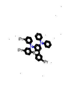 CC(C)c1cccc(N2c3cc(C(C)C)ccc3B3c4ccc(C(C)C)cc4-c4cc(N(c5ccccc5)c5ccccc5)cc2c43)c1